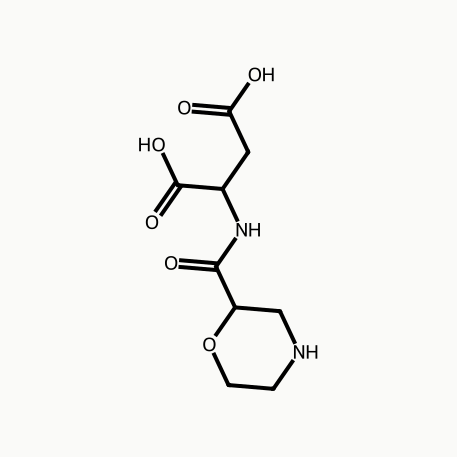 O=C(O)CC(NC(=O)C1CNCCO1)C(=O)O